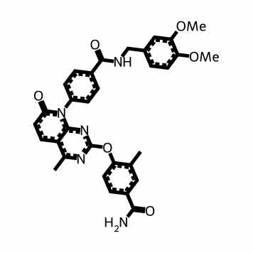 COc1ccc(CNC(=O)c2ccc(-n3c(=O)ccc4c(C)nc(Oc5ccc(C(N)=O)cc5C)nc43)cc2)cc1OC